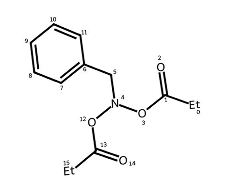 CCC(=O)ON(Cc1ccccc1)OC(=O)CC